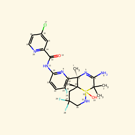 CC1(C)C(N)=N[C@](C)(c2nc(NC(=O)c3cc(Cl)ccn3)ccc2F)[C@H]2CC(F)(F)CNS21O